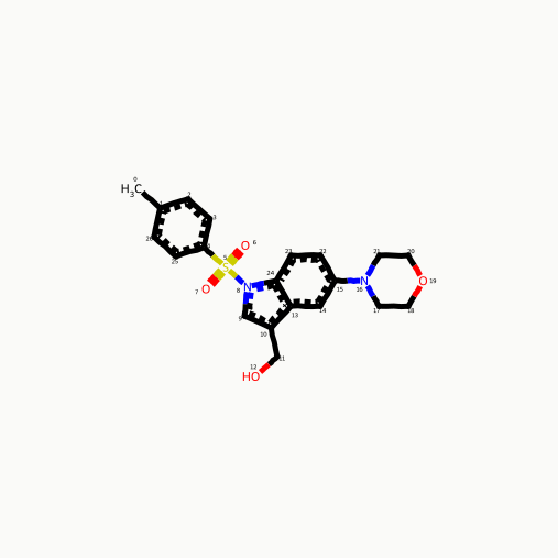 Cc1ccc(S(=O)(=O)n2cc(CO)c3cc(N4CCOCC4)ccc32)cc1